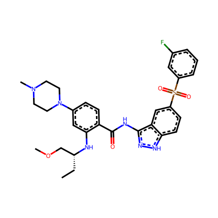 CC[C@H](COC)Nc1cc(N2CCN(C)CC2)ccc1C(=O)Nc1n[nH]c2ccc(S(=O)(=O)c3cccc(F)c3)cc12